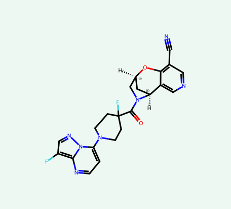 N#Cc1cncc2c1O[C@H]1C[C@@H]2N(C(=O)C2(F)CCN(c3ccnc4c(F)cnn34)CC2)C1